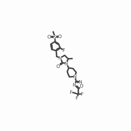 CC1CN(Cc2ccc(S(C)(=O)=O)cc2F)C(=O)N1C1CCN(c2noc(C(F)(F)F)n2)CC1